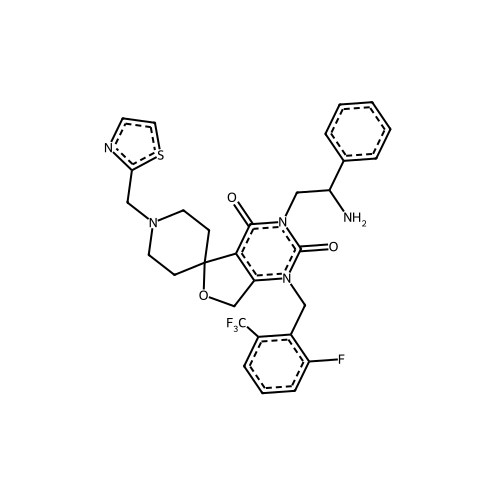 NC(Cn1c(=O)c2c(n(Cc3c(F)cccc3C(F)(F)F)c1=O)COC21CCN(Cc2nccs2)CC1)c1ccccc1